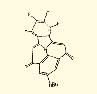 CCCCc1cc2c(=O)cc3c4c(F)c(F)c(F)c(F)c4c4cc(=O)c(c1)c2n34